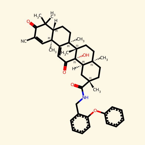 CC1(C)C(=O)C(C#N)=C[C@]2(C)C3=CC(=O)[C@]4(O)[C@@H]5C[C@@](C)(C(=O)NCc6ccccc6Oc6ccccc6)CC[C@]5(C)CC[C@@]4(C)[C@]3(C)CC[C@@H]12